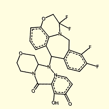 O=C1c2c(O)c(=O)ccn2N(C2c3ccc(F)c(F)c3CN3c4c(cccc42)OCC3(F)F)C2COCCN12